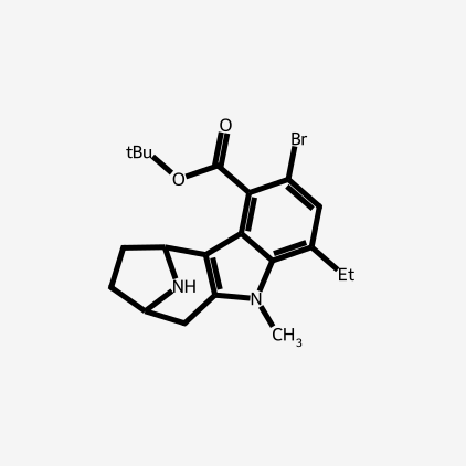 CCc1cc(Br)c(C(=O)OC(C)(C)C)c2c3c(n(C)c12)CC1CCC3N1